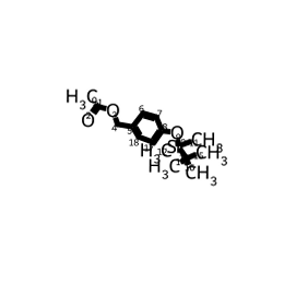 CC(=O)OCc1ccc(O[Si](C)(C)C(C)(C)C)cc1